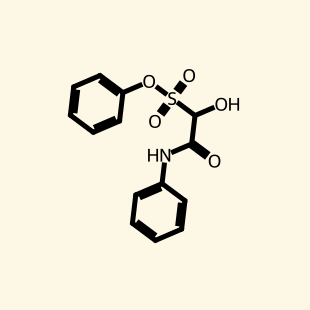 O=C(Nc1ccccc1)C(O)S(=O)(=O)Oc1ccccc1